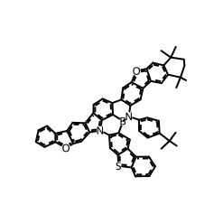 CC(C)(C)c1ccc(N2B3c4cc5c(cc4-n4c6cc7oc8ccccc8c7cc6c6ccc(c3c64)-c3cc4oc6cc7c(cc6c4cc32)C(C)(C)CCC7(C)C)sc2ccccc25)cc1